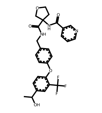 CC(O)c1ccc(Oc2ccc(CNC(=O)C3(NC(=O)c4cccnc4)CCOC3)cc2)c(C(F)(F)F)c1